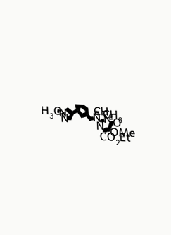 CCOC(=O)c1nc(N(C)Cc2cccc(-c3cnn(C)c3)c2)n(C)c(=O)c1OC